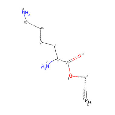 C#CCOC(=O)C(N)CCCCN